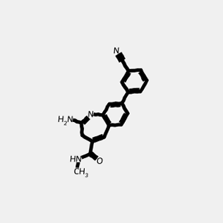 CNC(=O)C1=Cc2ccc(-c3cccc(C#N)c3)cc2N=C(N)C1